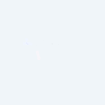 CC1=C(C)[C]([Cr+2])([Si](C)(C)c2ccc[nH]c2=O)C(C)=C1C.[Cl-].[Cl-]